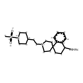 CC(=O)NC1CCC2(CCN(CCC3CCN(S(C)(=O)=O)CC3)CC2)c2ccccc21